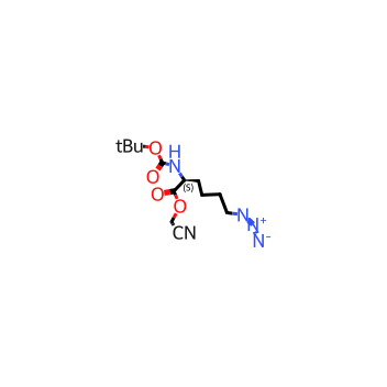 CC(C)(C)OC(=O)N[C@@H](CCCCN=[N+]=[N-])C(=O)OCC#N